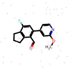 COc1cc(-c2cc(F)c3c(c2C=O)CCC3)ccn1